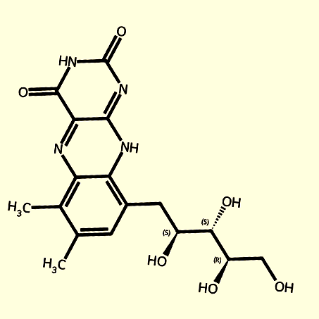 Cc1cc(C[C@H](O)[C@H](O)[C@H](O)CO)c2[nH]c3nc(=O)[nH]c(=O)c-3nc2c1C